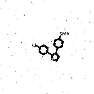 CSc1ccc(-c2ccsc2-c2ccc(Cl)cc2)cc1